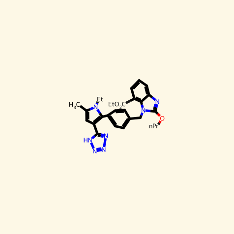 CCCOc1nc2cccc(C(=O)OCC)c2n1Cc1ccc(-c2c(-c3nnn[nH]3)cc(C)n2CC)cc1